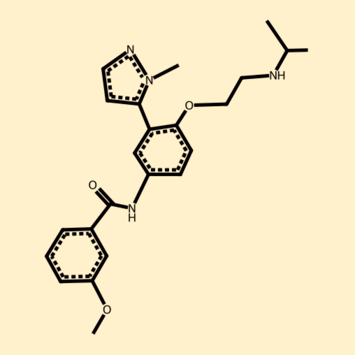 COc1cccc(C(=O)Nc2ccc(OCCNC(C)C)c(-c3ccnn3C)c2)c1